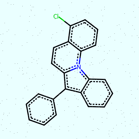 Clc1cccc2c1ccc1c(-c3ccccc3)c3ccccc3n12